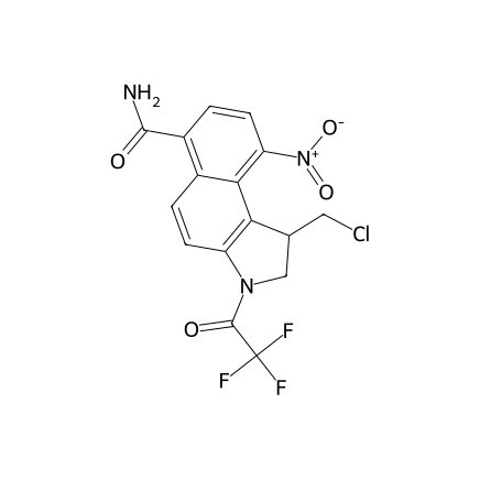 NC(=O)c1ccc([N+](=O)[O-])c2c3c(ccc12)N(C(=O)C(F)(F)F)CC3CCl